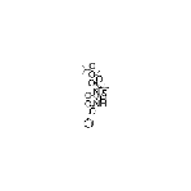 CC(OC(=O)C(C)C)OC(=O)[C@@H]1N2C(=O)C(NC(=O)OCc3ccccc3)[C@H]2SC1(C)C